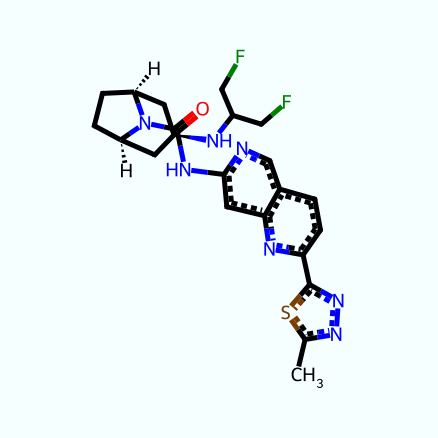 Cc1nnc(-c2ccc3cnc(NC(=O)N4[C@@H]5CC[C@H]4C[C@@H](NC(CF)CF)C5)cc3n2)s1